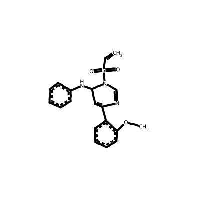 C=CS(=O)(=O)N1C=NC(c2ccccc2OC)=CC1Nc1ccccc1